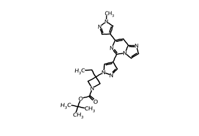 CCC1(n2cc(-c3nc(-c4cnn(C)c4)cc4nccn34)cn2)CN(C(=O)OC(C)(C)C)C1